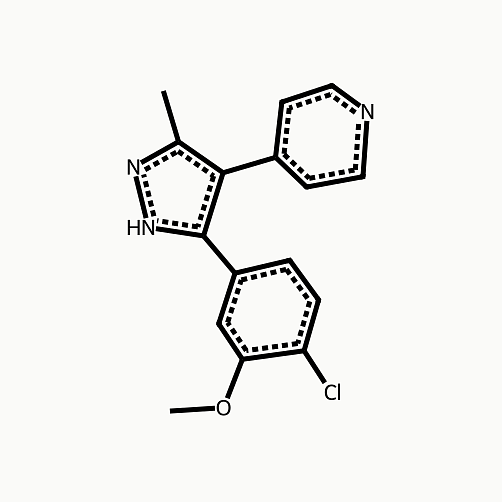 COc1cc(-c2[nH]nc(C)c2-c2ccncc2)ccc1Cl